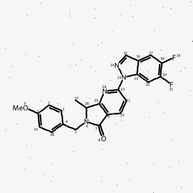 COc1ccc(CN2C(=O)c3ccc(-n4ncc5cc(F)c(F)cc54)nc3C2C)cc1